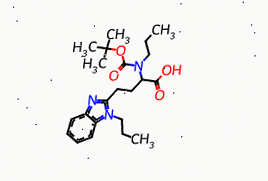 CCCN(C(=O)OC(C)(C)C)C(CCc1nc2ccccc2n1CCC)C(=O)O